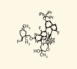 COc1nc(-c2cc(O[Si](C(C)C)(C(C)C)C(C)C)cc3ccc(F)c(C#C[Si](C(C)C)(C(C)C)C(C)C)c23)c(F)c2nc(OCC3(C)CN(C)CC/C3=C\F)nc(N3CCOCC(C)(O)C3)c12